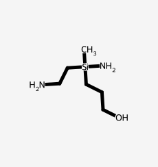 C[Si](N)(CCN)CCCO